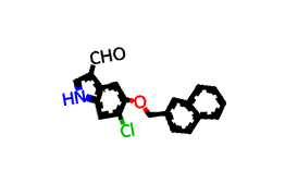 O=Cc1c[nH]c2cc(Cl)c(OCc3ccc4ccccc4c3)cc12